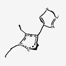 CCn1ncc(C2=C[N]N=N2)c1C